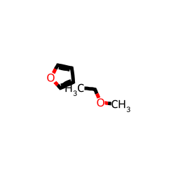 CCOC.c1ccoc1